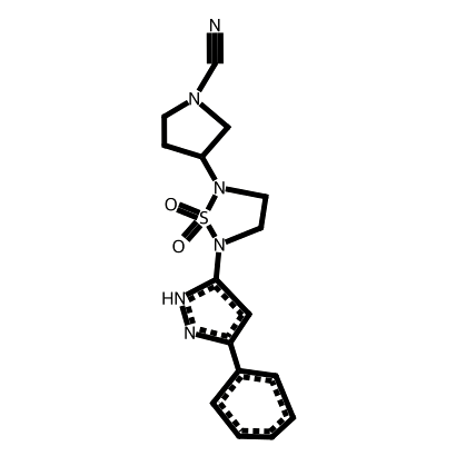 N#CN1CCC(N2CCN(c3cc(-c4ccccc4)n[nH]3)S2(=O)=O)C1